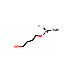 C[O][Al]([CH3])[O]CCCCO